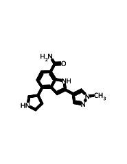 Cn1cc(-c2cc3c(C4CCNC4)ccc(C(N)=O)c3[nH]2)cn1